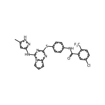 Cc1cc(Nc2nc(Sc3ccc(NC(=O)c4cc(Cl)ccc4C(F)(F)F)cc3)nc3cccn23)n[nH]1